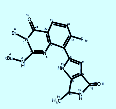 CCn1c(NC(C)(C)C)nc2c(-c3cc4c([nH]3)C(C)NC4=O)c(F)ccc2c1=O